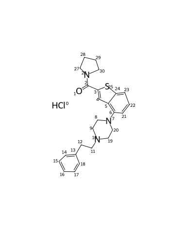 Cl.O=C(c1cc2c(N3CCN(CCc4ccccc4)CC3)cccc2s1)N1CCCC1